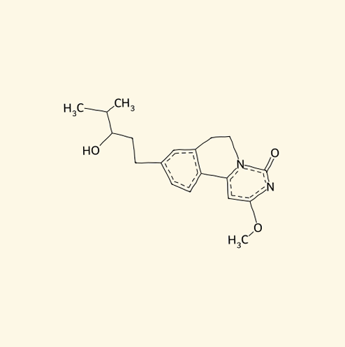 COc1cc2n(c(=O)n1)CCc1cc(CCC(O)C(C)C)ccc1-2